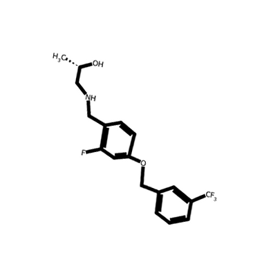 C[C@H](O)CNCc1ccc(OCc2cccc(C(F)(F)F)c2)cc1F